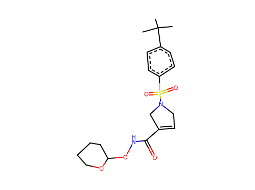 CC(C)(C)c1ccc(S(=O)(=O)N2CC=C(C(=O)NOC3CCCCO3)C2)cc1